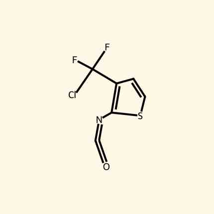 O=C=Nc1sccc1C(F)(F)Cl